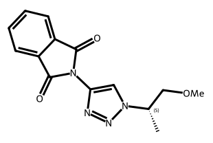 COC[C@H](C)n1cc(N2C(=O)c3ccccc3C2=O)nn1